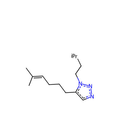 CC(C)=CCCCc1cnnn1CCC(C)C